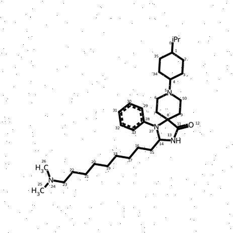 CC(C)C1CCC(N2CCC3(CC2)C(=O)NC(CCCCCCCCCN(C)C)N3c2ccccc2)CC1